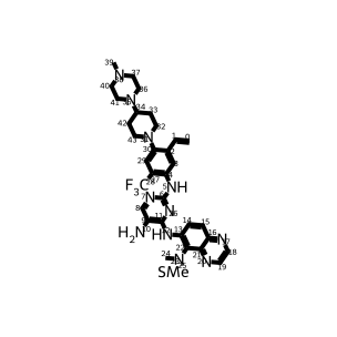 C=Cc1cc(Nc2ncc(N)c(Nc3ccc4nccnc4c3N(C)SC)n2)c(C(F)(F)F)cc1N1CCC(N2CCN(C)CC2)CC1